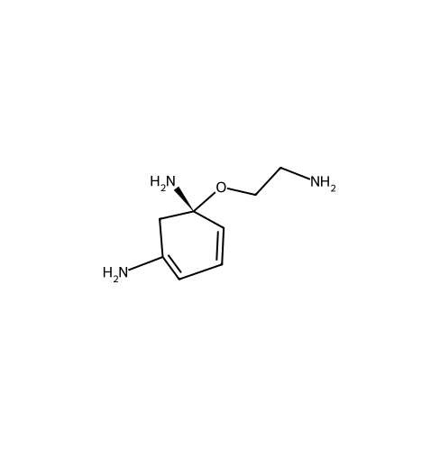 NCCO[C@]1(N)C=CC=C(N)C1